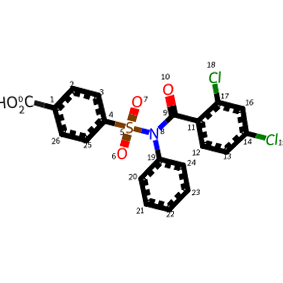 O=C(O)c1ccc(S(=O)(=O)N(C(=O)c2ccc(Cl)cc2Cl)c2ccccc2)cc1